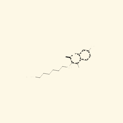 CCCCCCCCCCCCCCCCNc1c(C)c2ccc(O)cc2oc1=O